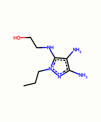 CCCn1nc(N)c(N)c1NCCO